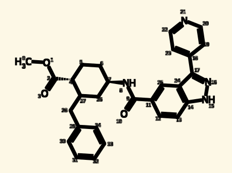 COC(=O)[C@@H]1CC[C@@H](NC(=O)c2ccc3[nH]nc(-c4ccncc4)c3c2)CC1Cc1ccccc1